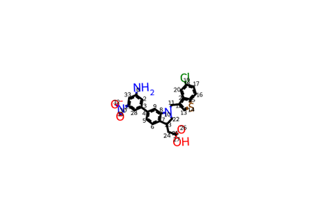 Nc1cc(-c2ccc3c(c2)N(Cc2csc4ccc(Cl)cc24)CC3CC(=O)O)cc([N+](=O)[O-])c1